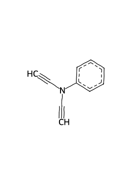 C#CN(C#C)c1ccccc1